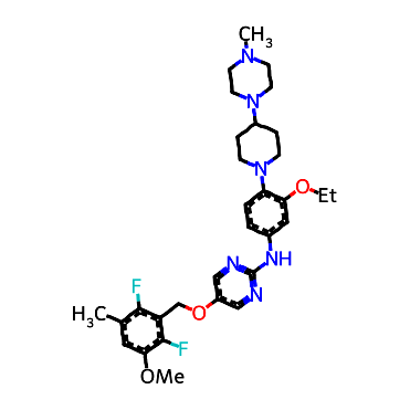 CCOc1cc(Nc2ncc(OCc3c(F)c(C)cc(OC)c3F)cn2)ccc1N1CCC(N2CCN(C)CC2)CC1